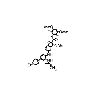 C=CC(=O)Nc1cc(N2CCN(CC)CC2)ccc1Nc1cc2c(NC)c(C(=O)Nc3c(F)c(OC)cc(OC)c3F)oc2cn1